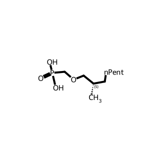 CCCCCC[C@H](C)COCP(=O)(O)O